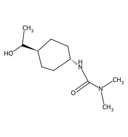 CC(O)[C@H]1CC[C@H](NC(=O)N(C)C)CC1